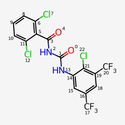 O=C(NC(=O)c1c(Cl)cccc1Cl)Nc1cc(C(F)(F)F)cc(C(F)(F)F)c1Cl